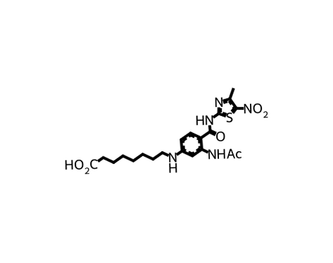 CC(=O)Nc1cc(NCCCCCCCC(=O)O)ccc1C(=O)Nc1nc(C)c([N+](=O)[O-])s1